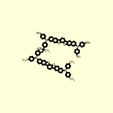 Cc1ccc(N(c2ccc(C)cc2)c2ccc3cc4c(cc3c2)oc2c4ccc3c4cc5ccc(N(c6ccc(C)cc6)c6ccc(C)c(CC(C)(C)c7ccc(N(c8ccc(C(C)(C)C)cc8)c8ccc9cc%10c(cc9c8)oc8c%10ccc9c%10cc%11ccc(N(c%12ccc(C(C)(C)C)cc%12)c%12ccc(C(C)(C)C)cc%12)cc%11cc%10oc98)cc7)c6)cc5cc4oc32)cc1